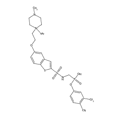 CCC[N+]1(CCOc2ccc3sc(S(=O)(=O)NCP(=O)(O)Oc4ccc(C#N)c(C(F)(F)F)c4)cc3c2)CCN(C)CC1